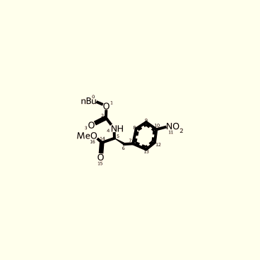 CCCCOC(=O)N[C@@H](Cc1ccc([N+](=O)[O-])cc1)C(=O)OC